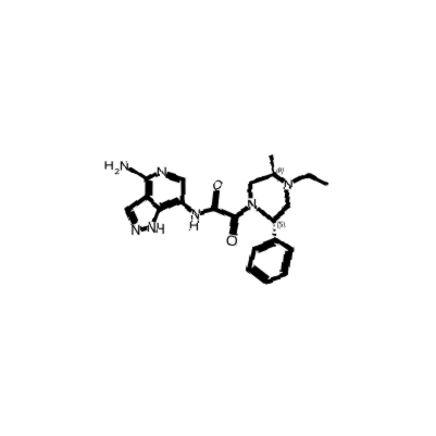 CCN1C[C@H](c2ccccc2)N(C(=O)C(=O)Nc2cnc(N)c3cn[nH]c23)C[C@H]1C